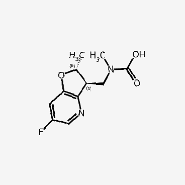 C[C@H]1Oc2cc(F)cnc2[C@@H]1CN(C)C(=O)O